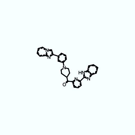 O=C(c1cccc(-c2nc3ccccc3[nH]2)n1)C1CCN(c2cccc(-c3cn4ccccc4n3)c2)CC1